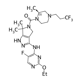 CCOc1ncc(F)c(Nc2n[nH]c3c2CN(C(=O)N2CCN(CCC(F)(F)F)C[C@@H]2C)C3(C)C)n1